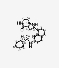 CC(Nc1ccc2cccc(-c3cc4c([nH]3)CCNC4=O)c2n1)c1ccccc1